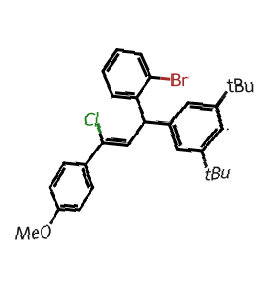 COc1ccc(C(Cl)=CC(c2cc(C(C)(C)C)[c]c(C(C)(C)C)c2)c2ccccc2Br)cc1